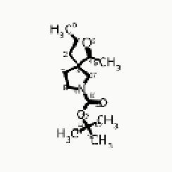 CCC[C@]1(C(C)=O)CCN(C(=O)OC(C)(C)C)C1